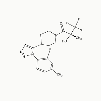 Cc1ccc(-n2nncc2C2CCN(C(=O)[C@@](C)(O)C(F)(F)F)CC2)c(F)c1